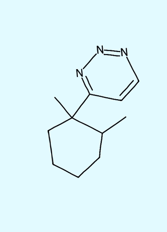 CC1CCCCC1(C)c1ccnnn1